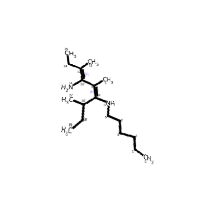 CCCCCCN/C(=C(C)/C(N)=C(\C)CC)C(C)CC